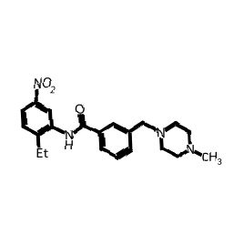 CCc1ccc([N+](=O)[O-])cc1NC(=O)c1cccc(CN2CCN(C)CC2)c1